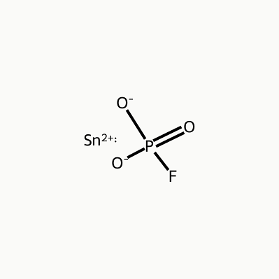 O=P([O-])([O-])F.[Sn+2]